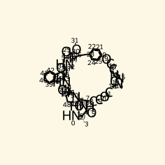 CN[C@@H](C)C(=O)N[C@H]1CCOCc2cn(nn2)CCOc2ccc(cc2)C[C@@H](C(=O)OC)NC(=O)[C@H](Cc2ccccc2)NC(=O)[C@@H]2CCCN2C1=O